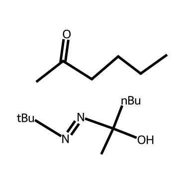 CCCCC(C)(O)N=NC(C)(C)C.CCCCC(C)=O